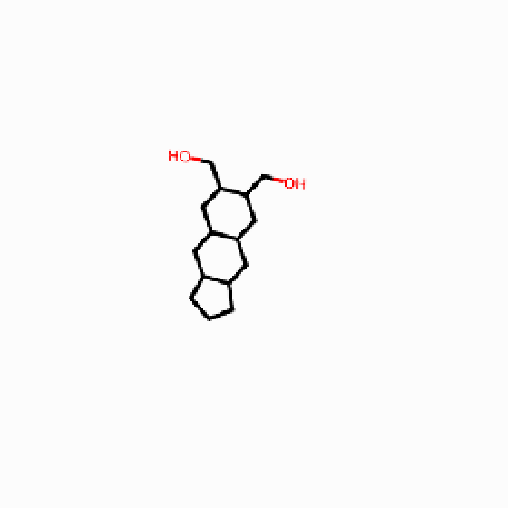 OCC1CC2CC3CCCC3CC2CC1CO